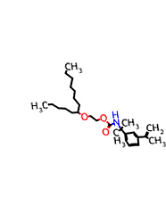 C=C(C)c1cccc(C(C)(C)NC(=O)OCCOC(CCCCC)CCCCCCC)c1